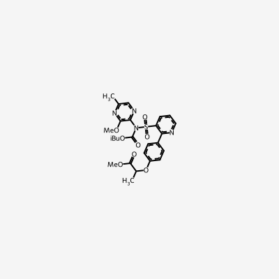 COC(=O)C(C)Oc1ccc(-c2ncccc2S(=O)(=O)N(C(=O)OCC(C)C)c2ncc(C)nc2OC)cc1